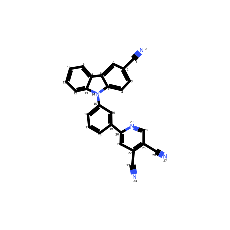 N#Cc1ccc2c(c1)c1ccccc1n2-c1cccc(-c2cc(C#N)c(C#N)cn2)c1